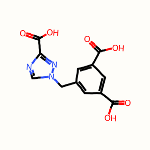 O=C(O)c1cc(Cn2cnc(C(=O)O)n2)cc(C(=O)O)c1